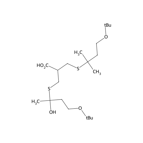 CC(C)(C)OCCC(C)(C)SCC(CSC(C)(O)CCOC(C)(C)C)C(=O)O